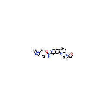 Cc1cc2cnc(NC(=O)[C@@H]3C[C@H]3c3cnn(C)c3C(F)(F)F)cc2cc1N1CCN([C@]2(C)CCOC2)CC1